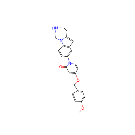 COc1ccc(COc2ccn(-c3ccc4c(c3)cc3n4CCNCC3)c(=O)c2)cc1